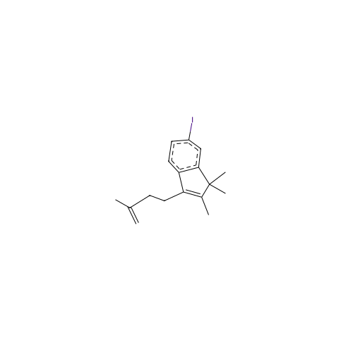 C=C(C)CCC1=C(C)C(C)(C)c2cc(I)ccc21